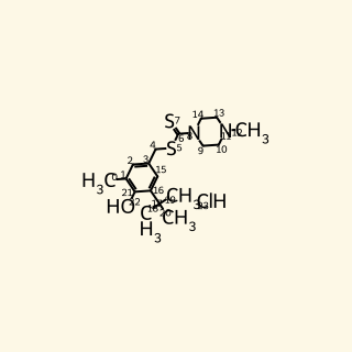 Cc1cc(CSC(=S)N2CCN(C)CC2)cc(C(C)(C)C)c1O.Cl